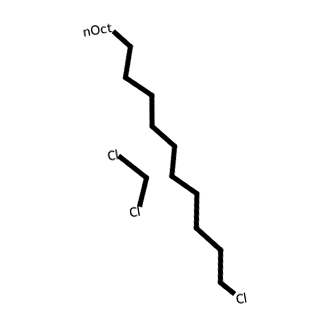 CCCCCCCCCCCCCCCCCCCl.ClCCl